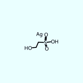 O=S(=O)(O)CCO.[Ag]